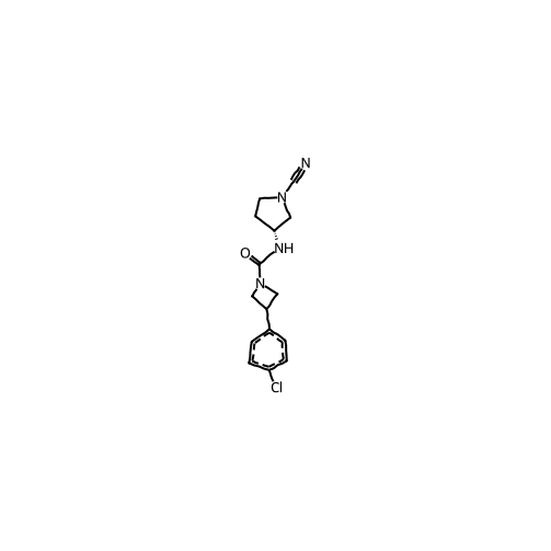 N#CN1CC[C@@H](NC(=O)N2CC(c3ccc(Cl)cc3)C2)C1